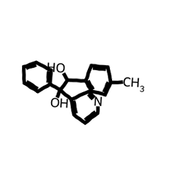 Cc1ccc(C(O)C(O)(c2ccccc2)c2cccnc2)cc1